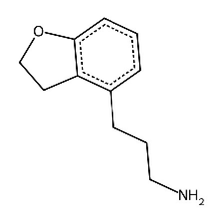 NCCCc1cccc2c1CCO2